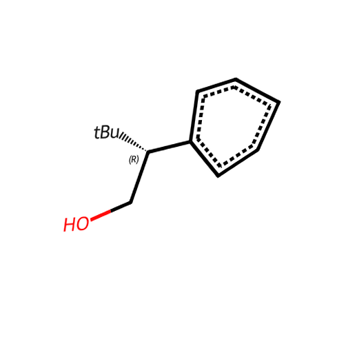 CC(C)(C)[C@@H](CO)c1ccccc1